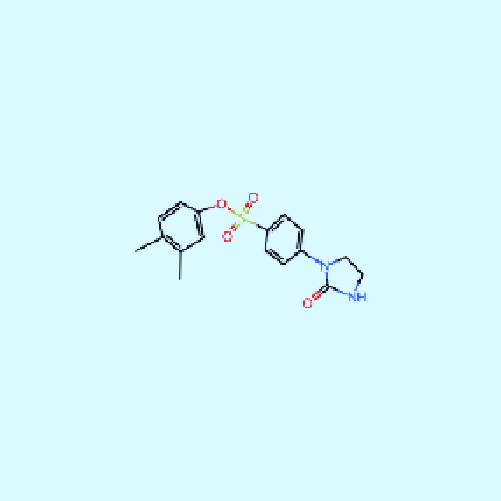 Cc1ccc(OS(=O)(=O)c2ccc(N3CCNC3=O)cc2)cc1C